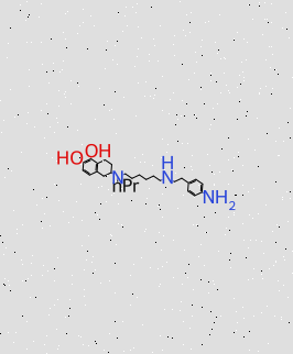 CCCN(CCCCCCNCCc1ccc(N)cc1)C1CCc2c(ccc(O)c2O)C1